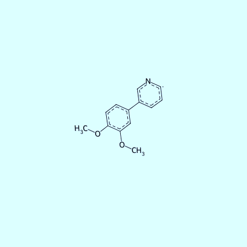 COc1ccc(-c2cc[c]nc2)cc1OC